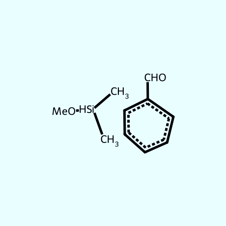 CO[SiH](C)C.O=Cc1ccccc1